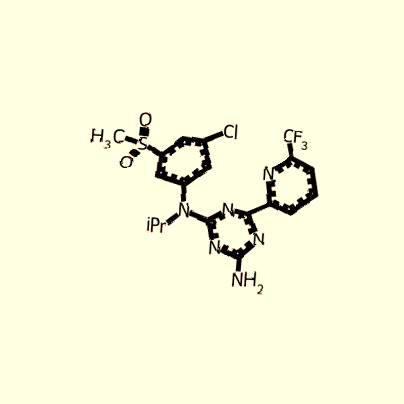 CC(C)N(c1cc(Cl)cc(S(C)(=O)=O)c1)c1nc(N)nc(-c2cccc(C(F)(F)F)n2)n1